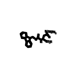 CN(O)C(=O)CC(NC(=O)OCC1c2ccccc2-c2ccccc21)C(=O)O